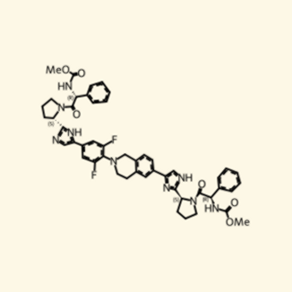 COC(=O)N[C@@H](C(=O)N1CCC[C@H]1c1nc(-c2ccc3c(c2)CCN(c2c(F)cc(-c4cnc([C@@H]5CCCN5C(=O)[C@H](NC(=O)OC)c5ccccc5)[nH]4)cc2F)C3)c[nH]1)c1ccccc1